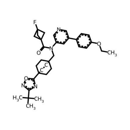 CCOc1ccc(-c2cncc(N(CC34CCC(c5nc(C(C)(C)C)no5)(CC3)CC4)C(=O)C34CC(F)(C3)C4)c2)cc1